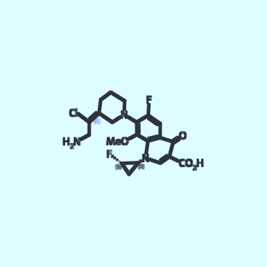 COc1c(N2CCC/C(=C(\Cl)CN)C2)c(F)cc2c(=O)c(C(=O)O)cn([C@@H]3C[C@@H]3F)c12